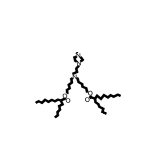 CCCCCCCCC(CCCCCC)C(=O)OCCCCCCN(CCCCCCOC(=O)C(CCCCCC)CCCCCCCC)CCCCN1CCN(C)CC1